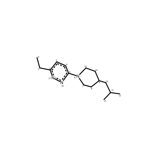 CCc1ccc(N2CCC(CC(C)C)CC2)nn1